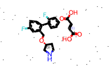 Fc1ccc(-c2ccccc2F)c(CO[C@H]2CCNC2)c1.O=C(O)/C=C/C(=O)O